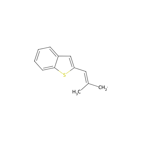 [CH2]C(C)=Cc1cc2ccccc2s1